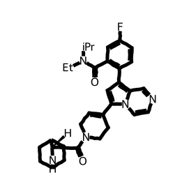 CCN(C(=O)c1cc(F)ccc1-c1cc(C2=CCN(C(=O)[C@@H]3NC4CCC3CC4)CC2)n2ccncc12)C(C)C